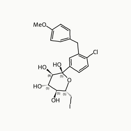 COc1ccc(Cc2cc([C@]3(O)O[C@H](CI)[C@@H](O)[C@H](O)[C@H]3O)ccc2Cl)cc1